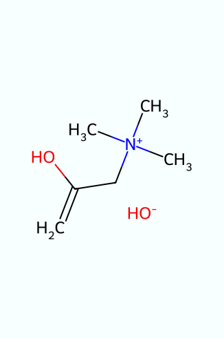 C=C(O)C[N+](C)(C)C.[OH-]